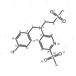 CS(=O)(=O)CCN(Cc1ccc(F)cc1)c1ccc(S(C)(=O)=O)nc1